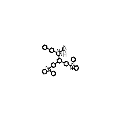 c1ccc(-c2ccc(-c3cc(-c4cc(-c5ccc(-c6nc7ccccc7n6-c6ccccc6)cc5)cc(-c5ccc(-c6nc7ccccc7n6-c6ccccc6)cc5)c4)nc(-c4cnc[nH]4)n3)cc2)cc1